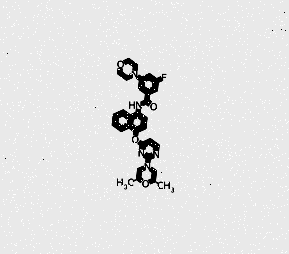 C[C@@H]1CN(c2nccc(Oc3ccc(NC(=O)c4cc(F)cc(N5CCOCC5)c4)c4ccccc34)n2)C[C@H](C)O1